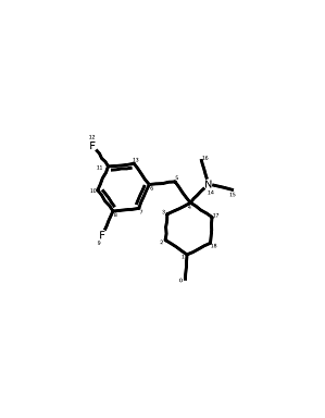 CC1CCC(Cc2cc(F)cc(F)c2)(N(C)C)CC1